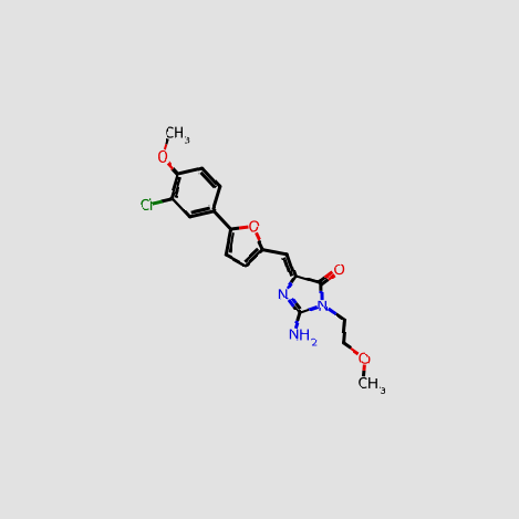 COCCN1C(=O)C(=Cc2ccc(-c3ccc(OC)c(Cl)c3)o2)N=C1N